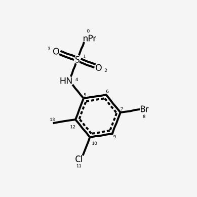 CCCS(=O)(=O)Nc1cc(Br)cc(Cl)c1C